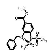 COC(=O)c1ccc(N(S(C)(=O)=O)S(C)(=O)=O)c(OCc2ccccc2)c1